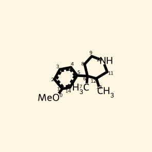 COc1cccc(C2(C)CCNCC2C)c1